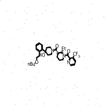 CCCCOCCc1ccccc1C1(O)CCN(C(=O)[C@@H]2CCCN(C(=O)c3ncccc3C(F)(F)F)[C@@H]2CC)CC1